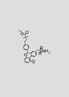 CCOC(=O)C(C)(C)CCc1ccc(C2Oc3cccc(OC)c3-c3ccc(CS(N)(=O)=O)cc32)cc1